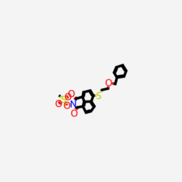 CS(=O)(=O)ON1C(=O)c2cccc3c(SCCOCc4ccccc4)ccc(c23)C1=O